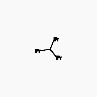 CC(C)C(C(C)C)C(C)C